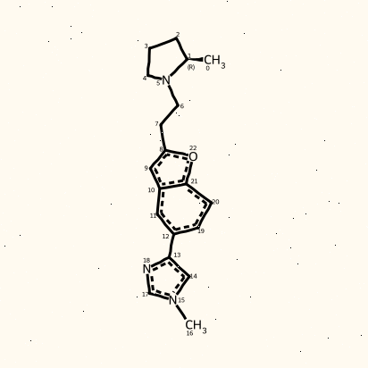 C[C@@H]1CCCN1CCc1cc2cc(-c3cn(C)cn3)ccc2o1